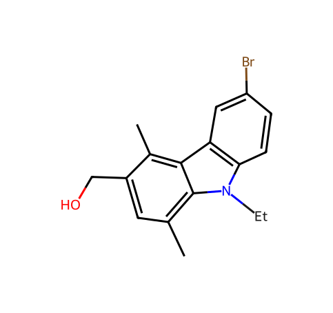 CCn1c2ccc(Br)cc2c2c(C)c(CO)cc(C)c21